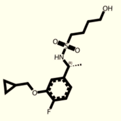 C[C@@H](NS(=O)(=O)CCCCO)c1ccc(F)c(OCC2CC2)c1